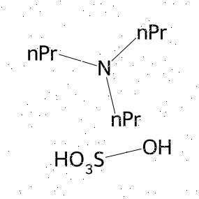 CCCN(CCC)CCC.O=S(=O)(O)O